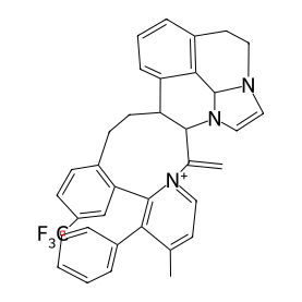 C=C1C2C(CCc3ccc(C(F)(F)F)cc3-c3c(-c4ccccc4)c(C)cc[n+]31)c1cccc3c1C1N(C=CN21)CC3